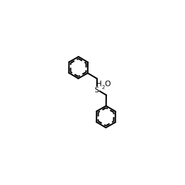 O.c1ccc(CSCc2ccccc2)cc1